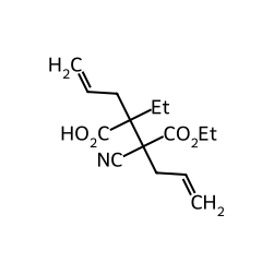 C=CCC(C#N)(C(=O)OCC)C(CC)(CC=C)C(=O)O